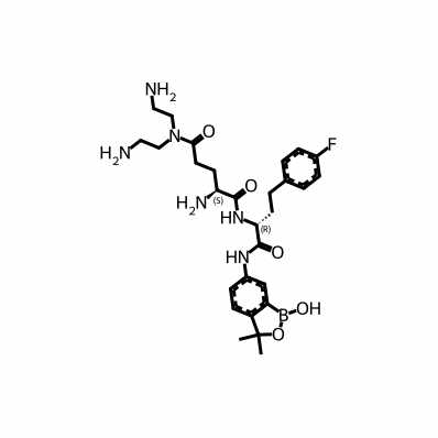 CC1(C)OB(O)c2cc(NC(=O)[C@@H](CCc3ccc(F)cc3)NC(=O)[C@@H](N)CCC(=O)N(CCN)CCN)ccc21